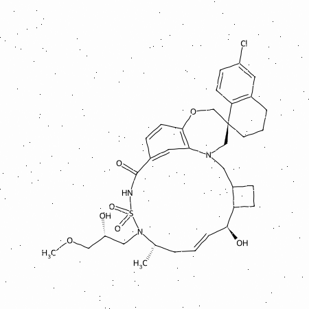 COC[C@H](O)CN1[C@@H](C)C/C=C/[C@H](O)C2CCC2CN2C[C@@]3(CCCc4cc(Cl)ccc43)COc3ccc(cc32)C(=O)NS1(=O)=O